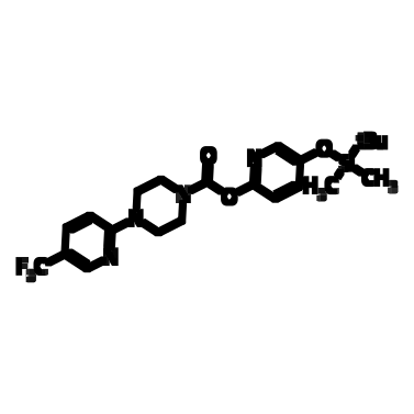 CC(C)(C)[Si](C)(C)Oc1ccc(OC(=O)N2CCN(c3ccc(C(F)(F)F)cn3)CC2)nc1